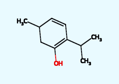 CC1C=CC(C(C)C)=C(O)C1